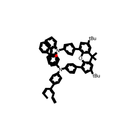 C=C/C=C(\C=C/C)c1ccc(N(c2ccc(-c3ccccc3)cc2)c2ccc(-c3cc(C(C)(C)C)cc4c3Oc3c(-c5ccc(-n6c7ccccc7c7ccccc76)cc5)cc(C(C)(C)C)cc3C4(C)C)cc2)cc1